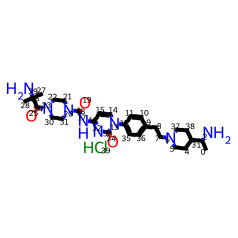 CC(N)C1CCN(CCc2ccc(-n3ccc(NC(=O)N4CCN(C(=O)C(C)(C)N)CC4)nc3=O)cc2)CC1.Cl